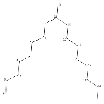 [CH2]C(CCCCCCCC)CCCCCCCC